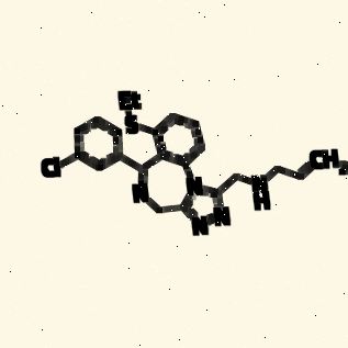 C=CCNCc1nnc2n1-c1cccc(SCC)c1C(c1cccc(Cl)c1)=NC2